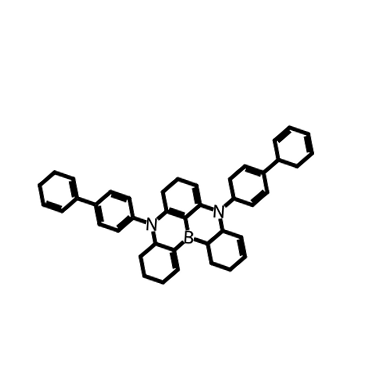 C1=CCC(C2=CCC(N3C4=CCCC5=C4B(C4=CCCCC4N5c4ccc(C5=CCCC=C5)cc4)C4CCC=CC43)C=C2)C=C1